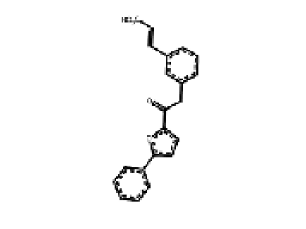 O=C(O)/C=C/c1cccc(CC(=O)c2ccc(-c3ccccc3)o2)c1